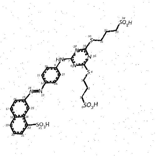 O=S(=O)(O)CCCSc1nc(Nc2ccc(N=Nc3ccc4cccc(S(=O)(=O)O)c4c3)cc2)nc(SCCCS(=O)(=O)O)n1